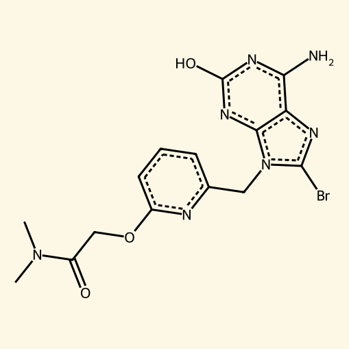 CN(C)C(=O)COc1cccc(Cn2c(Br)nc3c(N)nc(O)nc32)n1